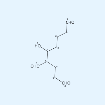 O=CCCCC(O)C(C=O)CCC=O